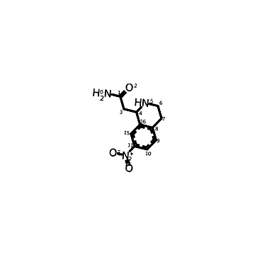 NC(=O)CC1NCCc2ccc([N+](=O)[O-])cc21